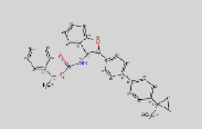 C[C@@H](OC(=O)Nc1c(-c2ccc(-c3ccc(C4(C(=O)O)CC4)cc3)cc2)oc2ccccc12)c1ccccc1